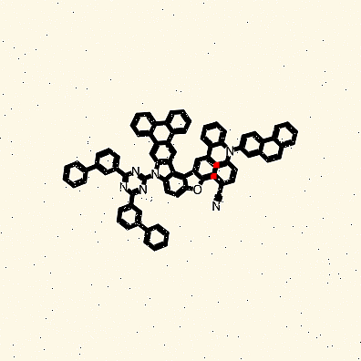 N#Cc1ccc(N(c2ccc3c(ccc4ccccc43)c2)c2ccccc2-c2ccc3oc4ccc5c(c6cc7c8ccccc8c8ccccc8c7cc6n5-c5nc(-c6cccc(-c7ccccc7)c6)nc(-c6cccc(-c7ccccc7)c6)n5)c4c3c2)cc1